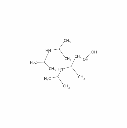 CC(C)NC(C)C.CC(C)NC(C)C.OO